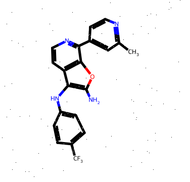 Cc1cc(-c2nccc3c(Nc4ccc(C(F)(F)F)cc4)c(N)oc23)ccn1